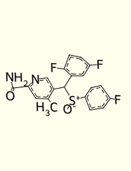 Cc1cc(C(N)=O)ncc1C(c1cc(F)ccc1F)[S+]([O-])c1ccc(F)cc1